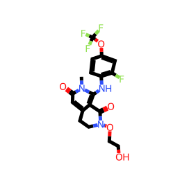 Cn1c(Nc2ccc(OC(F)(F)F)cc2F)c2c(cc1=O)CCN(OCCO)C2=O